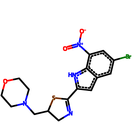 O=[N+]([O-])c1cc(Br)cc2cc(C3=NCC(CN4CCOCC4)S3)[nH]c12